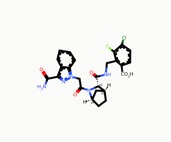 NC(=O)c1nn(CC(=O)N2[C@@H]3CC[C@@H](C3)[C@H]2C(=O)NCc2c(C(=O)O)ccc(Cl)c2F)c2ccccc12